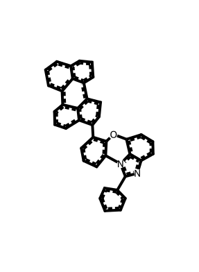 c1ccc(-c2nc3cccc4c3n2-c2cccc(-c3ccc5c6cccc7cccc(c8cccc3c85)c76)c2O4)cc1